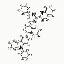 c1ccc(-c2cc(-c3ccc(-c4ccc5c(c4)c4ccccc4n5-c4ccccc4)c4ccccc34)nc(-c3ccc4ccccc4n3)n2)cc1